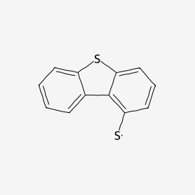 [S]c1cccc2sc3ccccc3c12